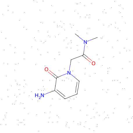 CN(C)C(=O)Cn1cccc(N)c1=O